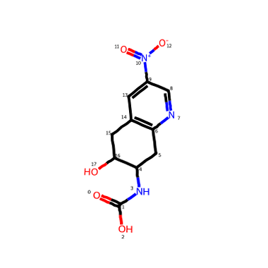 O=C(O)NC1Cc2ncc([N+](=O)[O-])cc2CC1O